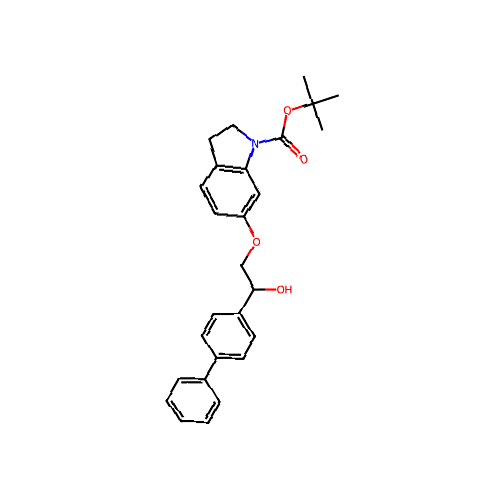 CC(C)(C)OC(=O)N1CCc2ccc(OCC(O)c3ccc(-c4ccccc4)cc3)cc21